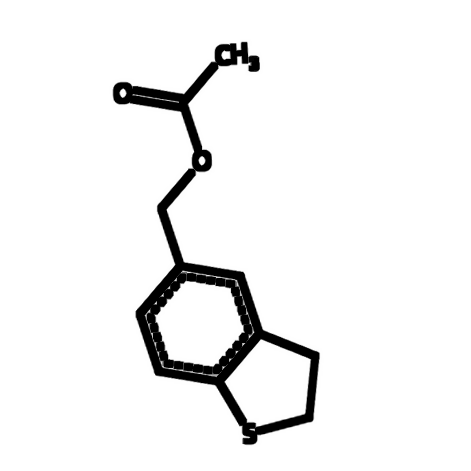 CC(=O)OCc1ccc2c(c1)CCS2